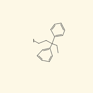 CCC(CCI)(c1ccccc1)c1ccccc1